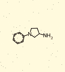 NC1CCN(c2c[c]ccc2)C1